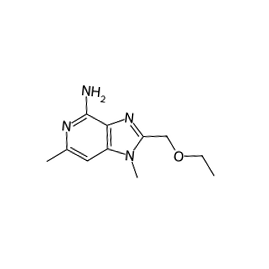 CCOCc1nc2c(N)nc(C)cc2n1C